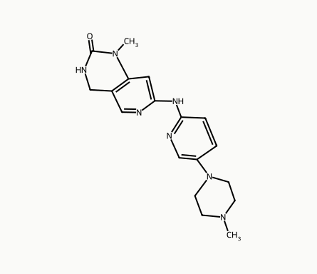 CN1CCN(c2ccc(Nc3cc4c(cn3)CNC(=O)N4C)nc2)CC1